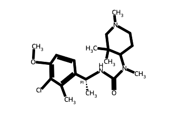 COc1ccc([C@@H](C)NC(=O)N(C)C2CCN(C)CC2(C)C)c(C)c1Cl